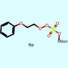 CCCCCCCCCOS(=O)(=O)OOCCOc1ccccc1.[Na]